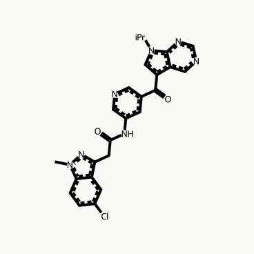 CC(C)n1cc(C(=O)c2cncc(NC(=O)Cc3nn(C)c4ccc(Cl)cc34)c2)c2cncnc21